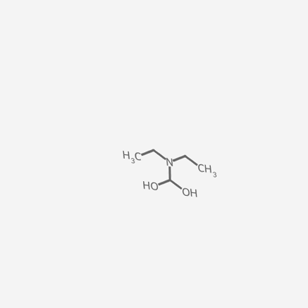 CCN(CC)C(O)O